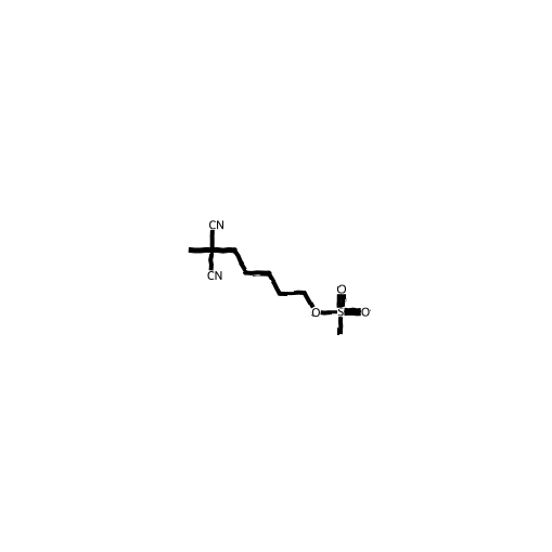 CC(C#N)(C#N)CCCCCOS(C)(=O)=O